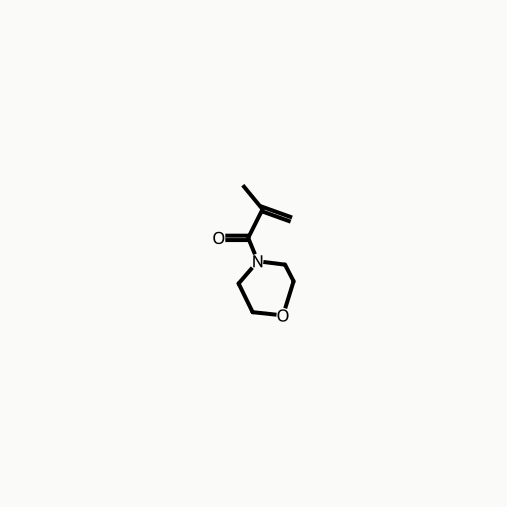 C=C(C)C(=O)N1CCOCC1